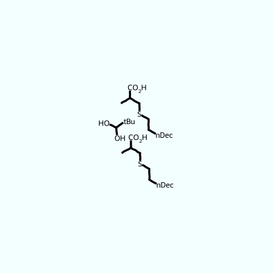 CC(C)(C)C(O)O.CCCCCCCCCCCCSCC(C)C(=O)O.CCCCCCCCCCCCSCC(C)C(=O)O